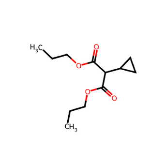 CCCOC(=O)C(C(=O)OCCC)C1CC1